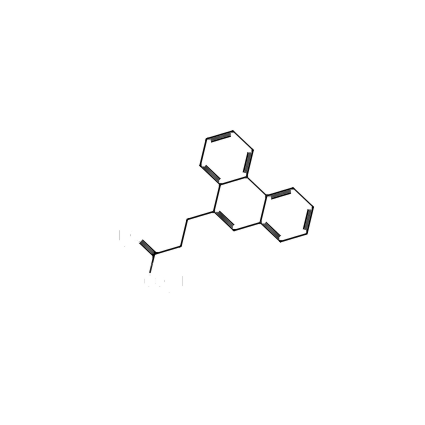 C=C(CCc1cc2ccccc2c2ccccc12)C(=O)O